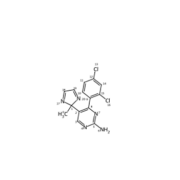 CC1(c2cnc(N)nc2-c2ccc(Cl)cc2Cl)N=CC=N1